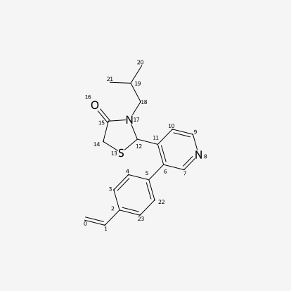 C=Cc1ccc(-c2cnccc2C2SCC(=O)N2CC(C)C)cc1